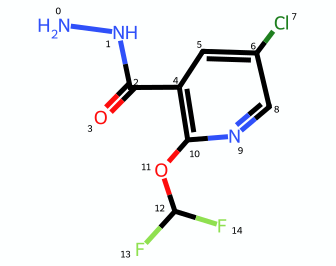 NNC(=O)c1cc(Cl)cnc1OC(F)F